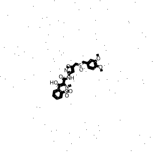 COc1ccc(C[S+]([O-])Cc2cc(NC(=O)C3=C(O)c4ccccc4S(=O)(=O)N3C)no2)cc1OC